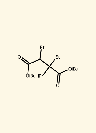 CCC(C(=O)OCC(C)C)C(CC)(C(=O)OCC(C)C)C(C)C